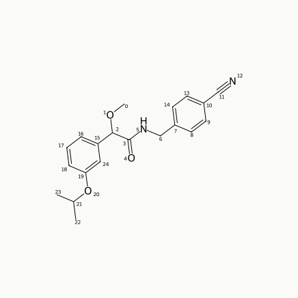 COC(C(=O)NCc1ccc(C#N)cc1)c1cccc(OC(C)C)c1